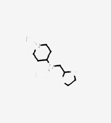 CN(CC1OCCO1)C1CCN(C(C)(C)C)CC1